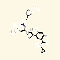 C=N/C=C(\C=C(/C)OCC1CCN(C)C1)n1cc(-c2cc(C(=O)NC3CC3)c(F)cc2C)cn1